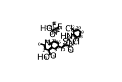 Cc1cc(C(=O)O)c2cc(/C=C3\SC(Nc4c(Cl)cccc4Cl)=NC3=O)ccc2n1.O=C(O)C(F)(F)F